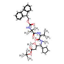 COC(CC(=O)OC(C)(C)C)[C@H](C1CCCC1)N(C)C(=O)[C@@H](NC(=O)C(C)(C)NC(=O)OCC1c2ccccc2-c2ccccc21)C(C)C